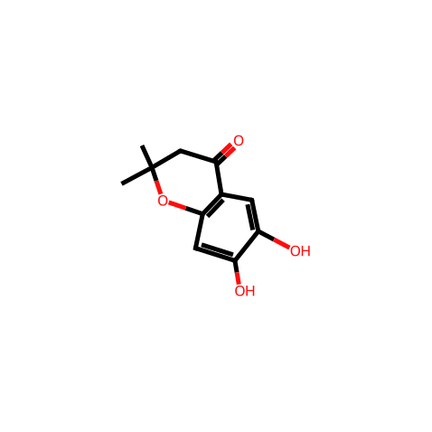 CC1(C)CC(=O)c2cc(O)c(O)cc2O1